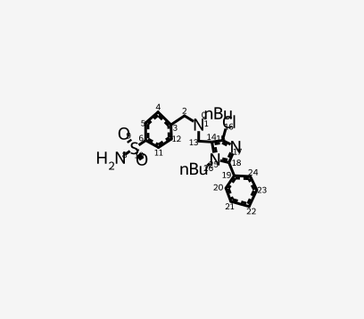 CCCCN(Cc1ccc(S(N)(=O)=O)cc1)Cc1c(Cl)nc(-c2ccccc2)n1CCCC